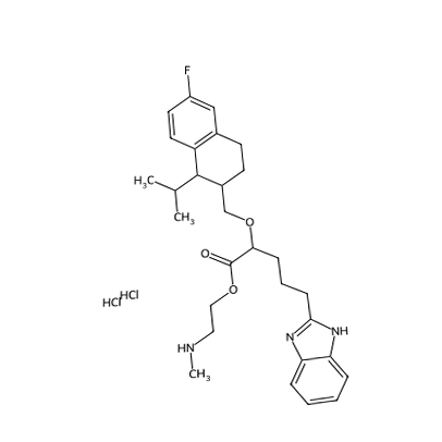 CNCCOC(=O)C(CCCc1nc2ccccc2[nH]1)OCC1CCc2cc(F)ccc2C1C(C)C.Cl.Cl